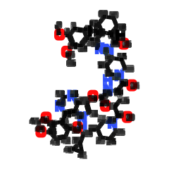 COc1ccc(C2=NN(C3CCN(C(=O)[C@H](CCC(=O)N4CCCCC4)NC(=O)Oc4c[nH]c5c(-c6c(OCC7CC7)ccc7c6OCO7)ncnc45)CC3)C(=O)[C@@H]3CCCC[C@H]23)cc1OC